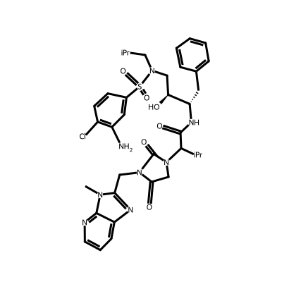 CC(C)CN(C[C@H](O)[C@H](Cc1ccccc1)NC(=O)C(C(C)C)N1CC(=O)N(Cc2nc3cccnc3n2C)C1=O)S(=O)(=O)c1ccc(Cl)c(N)c1